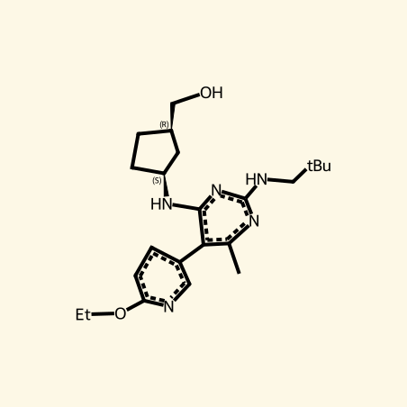 CCOc1ccc(-c2c(C)nc(NCC(C)(C)C)nc2N[C@H]2CC[C@@H](CO)C2)cn1